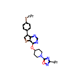 CCCSc1ccc(-c2csc3c(OC4CCN(c5nc(C(C)C)no5)CC4)ncnc23)cc1